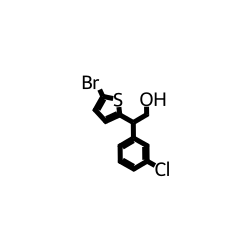 OCC(c1cccc(Cl)c1)c1ccc(Br)s1